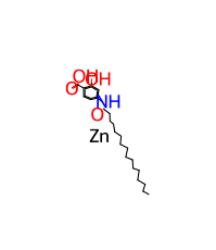 CCCCCCCCCCCCCCCC(=O)Nc1ccc(C(=O)O)c(O)c1.[Zn]